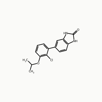 CC(C)Oc1cccc(-c2ccc3[nH]c(=O)[nH]c3c2)c1Cl